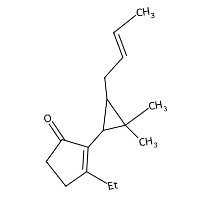 CC=CCC1C(C2=C(CC)CCC2=O)C1(C)C